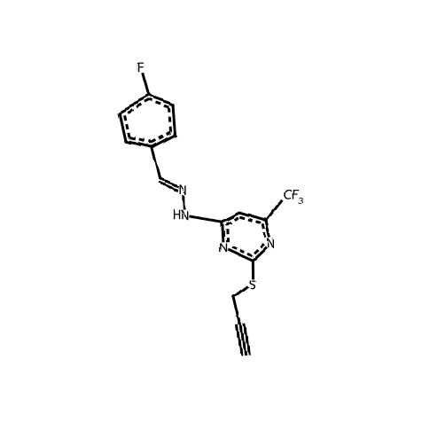 C#CCSc1nc(NN=Cc2ccc(F)cc2)cc(C(F)(F)F)n1